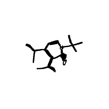 CC(C)c1ccn(C(C)(C)C)c(=O)c1C(C)C